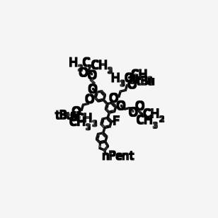 C=C(C)C(=O)OCCOc1ccc(-c2cc(-c3ccc(-c4ccc5c(c4)CC(CCCCC)C5)cc3F)cc(OCCOC(=O)C(=C)C)c2OCCCCO[Si](C)(C)C(C)(C)C)cc1OCCCO[Si](C)(C)C(C)(C)C